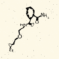 CCOCCOCCNC(=O)c1ccccc1C(N)=O